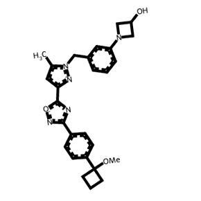 COC1(c2ccc(-c3noc(-c4cc(C)n(Cc5cccc(N6CC(O)C6)c5)n4)n3)cc2)CCC1